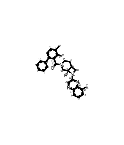 Cc1ccc(-c2ccccc2)c(C(=O)N2CCC3CN(c4cnc5cccc(F)c5n4)[C@@H]3C2)c1F